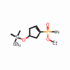 CCOP(=O)(C1=CCC(O[Si](C)(C)C(C)(C)C)C1)C(C)C